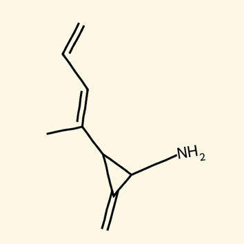 C=C/C=C(\C)C1C(=C)C1N